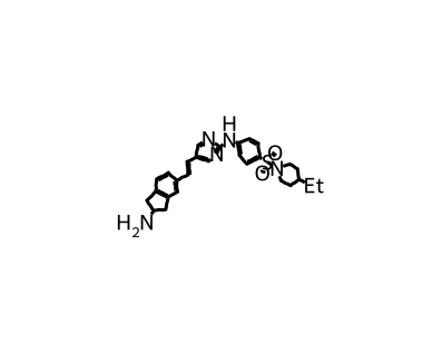 CCC1CCN(S(=O)(=O)c2ccc(Nc3ncc(/C=C/c4ccc5c(c4)CC(N)C5)cn3)cc2)CC1